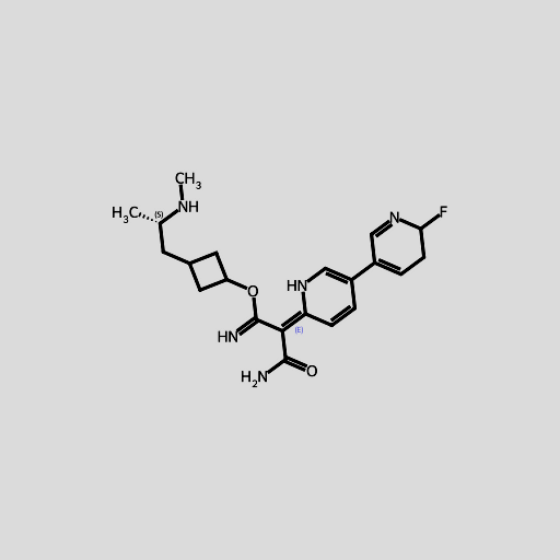 CN[C@@H](C)CC1CC(OC(=N)/C(C(N)=O)=C2/C=CC(C3=CCC(F)N=C3)=CN2)C1